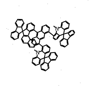 CN1c2ccccc2C2(c3ccccc3-c3ccccc32)c2cccc(-c3cccc4c(-c5cccc6c5-c5c(ccc7ccccc57)C65c6ccccc6-c6ccccc65)c5cccc(-c6cccc7c6N(C)c6ccccc6C76c7ccccc7-c7ccccc76)c5cc34)c21